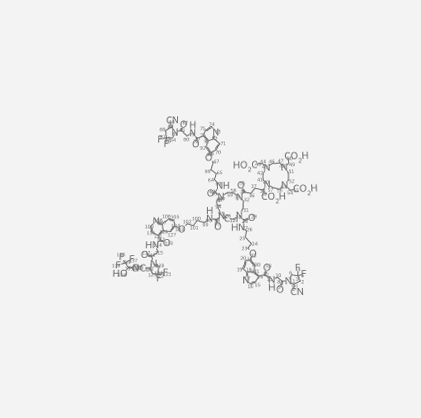 N#C[C@@H]1CC(F)(F)CN1C(=O)CNC(=O)c1ccnc2ccc(OCCCCNC(=O)N3CCN(C(=O)CCC(C(=O)O)N4CCN(CC(=O)O)CCN(CC(=O)O)CCN(CC(=O)O)CC4)CCN(C(=O)NCCCCOc4ccc5nccc(C(=O)NCC(=O)N6CC(F)(F)C[C@H]6C#N)c5c4)CCN(C(=O)NCCCCOc4ccc5nccc(C(=O)NCC(=O)N6CC(F)(F)C[C@H]6C#N)c5c4)CC3)cc12.O=C(O)C(F)(F)F